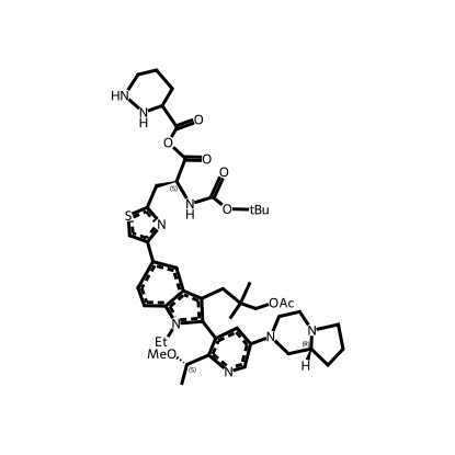 CCn1c(-c2cc(N3CCN4CCC[C@@H]4C3)cnc2[C@H](C)OC)c(CC(C)(C)COC(C)=O)c2cc(-c3csc(C[C@H](NC(=O)OC(C)(C)C)C(=O)OC(=O)C4CCCNN4)n3)ccc21